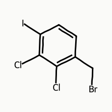 Clc1c(I)ccc(CBr)c1Cl